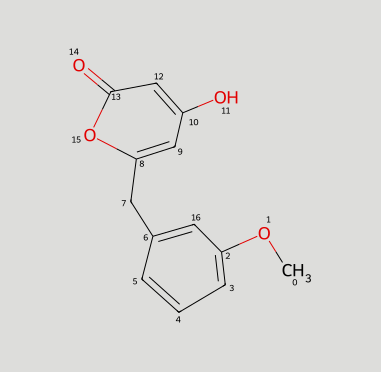 COc1cccc(Cc2cc(O)cc(=O)o2)c1